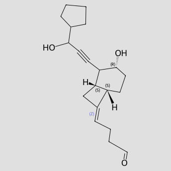 O=CCC/C=C1/C[C@@H]2C(C#CC(O)C3CCCC3)[C@H](O)CC[C@H]12